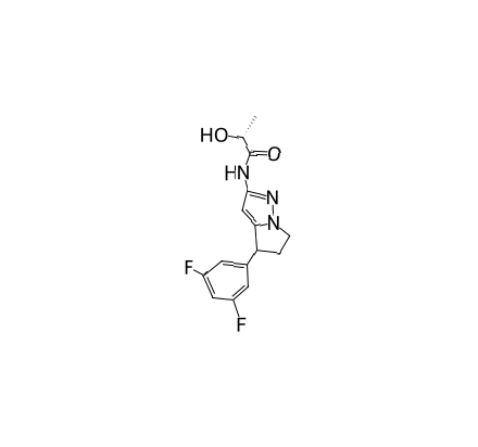 C[C@@H](O)C(=O)Nc1cc2n(n1)CCC2c1cc(F)cc(F)c1